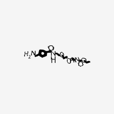 CCOC(=O)NCCOCCOCCNC(=O)c1ccc(CN)cc1